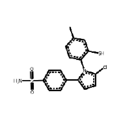 Cc1ccc(-n2c(Cl)ccc2-c2ccc(S(N)(=O)=O)cc2)c(S)c1